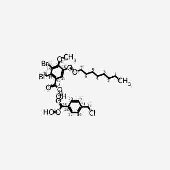 CCCCCCCCOOc1cc(C(=O)OO)c(Br)c(Br)c1OC.O=C(OO)c1ccc(CCl)cc1